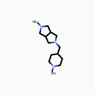 CC(C)(C)N1CCC(CN2CC3CN(C(C)(C)C)CC3C2)CC1